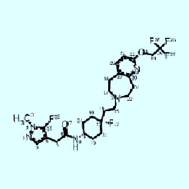 Cn1ncc(CC(=O)N[C@H]2CC[C@](F)(CCN3CCc4ccc(OCC(F)(F)F)nc4CC3)CC2)c1F